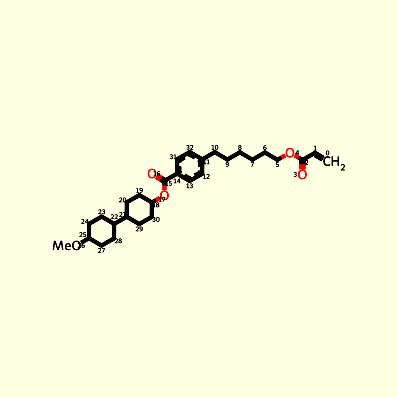 C=CC(=O)OCCCCCCc1ccc(C(=O)OC2CCC(C3CCC(OC)CC3)CC2)cc1